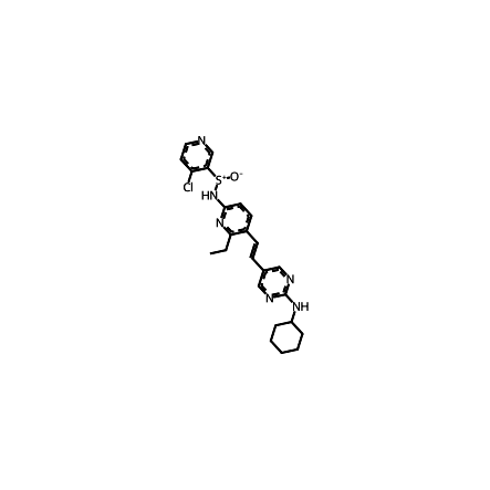 CCc1nc(N[S+]([O-])c2cnccc2Cl)ccc1/C=C/c1cnc(NC2CCCCC2)nc1